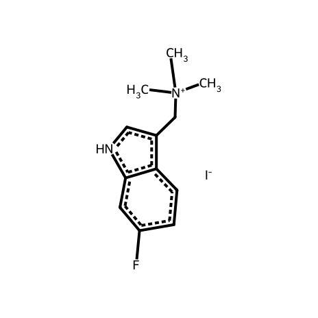 C[N+](C)(C)Cc1c[nH]c2cc(F)ccc12.[I-]